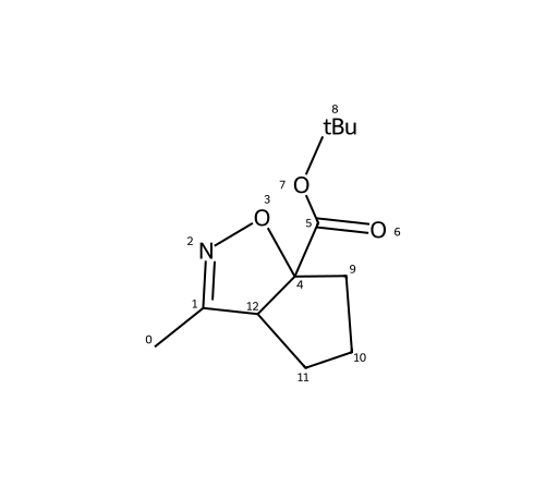 CC1=NOC2(C(=O)OC(C)(C)C)CCCC12